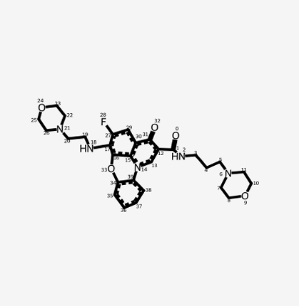 O=C(NCCCN1CCOCC1)c1cn2c3c(c(NCCN4CCOCC4)c(F)cc3c1=O)Oc1ccccc1-2